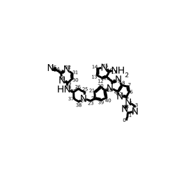 Cc1ncn(-c2ccc3nc(-c4cccnc4N)n(-c4ccc(CN5CCC(Nc6ccnc(C#N)n6)CC5)cc4)c3n2)n1